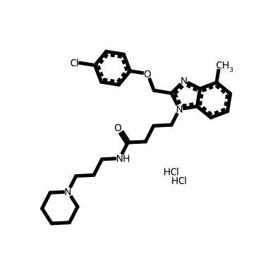 Cc1cccc2c1nc(COc1ccc(Cl)cc1)n2CCCC(=O)NCCCN1CCCCC1.Cl.Cl